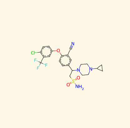 N#Cc1cc(C(CS(N)(=O)=O)N2CCN(C3CC3)CC2)ccc1Oc1ccc(Cl)c(C(F)(F)F)c1